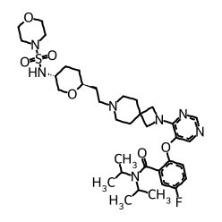 CC(C)N(C(=O)c1cc(F)ccc1Oc1cncnc1N1CC2(CCN(CC[C@@H]3CC[C@@H](NS(=O)(=O)N4CCOCC4)CO3)CC2)C1)C(C)C